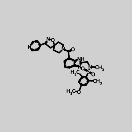 COc1cc(C)c(S(=O)(=O)N(C)Cc2nc3cccc(C(=O)N4CCC5(CC4)CC(c4ccncc4)=NO5)c3[nH]2)c(C)c1